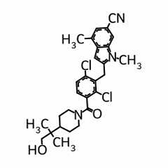 Cc1cc(C#N)cc2c1cc(Cc1c(Cl)ccc(C(=O)N3CCC(C(C)(C)CO)CC3)c1Cl)n2C